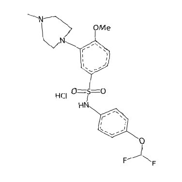 COc1ccc(S(=O)(=O)Nc2ccc(OC(F)F)cc2)cc1N1CCN(C)CC1.Cl